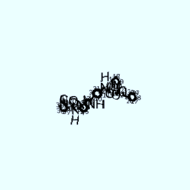 O=C(Nc1ccc2[nH]c(-c3ccc(NC(=O)[C@@H]4CCCN4C(=O)OCc4ccccc4)cc3)cc2n1)[C@@H]1CCCN1C(=O)O